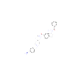 N#Cc1ccc(CN2CCC3(CC2)CCN(C(=O)c2ccc4c(c2)C(NC(=O)c2cc(Cl)ccc2F)CC4)C3)cc1